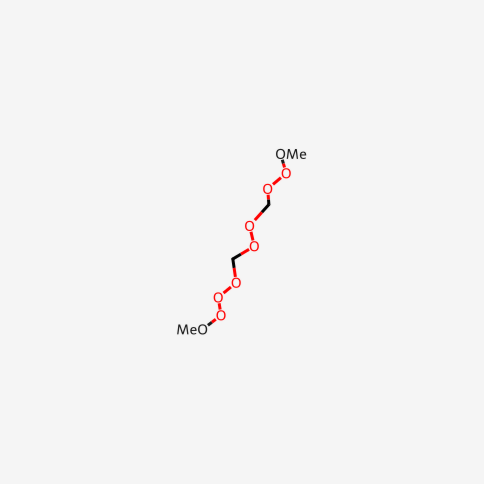 COOOCOOCOOOOC